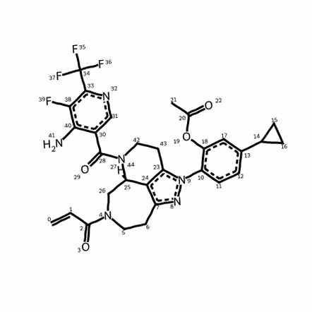 C=CC(=O)N1CCc2nn(-c3ccc(C4CC4)cc3OC(C)=O)c3c2[C@H](C1)N(C(=O)c1cnc(C(F)(F)F)c(F)c1N)CC3